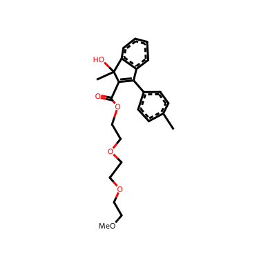 COCCOCCOCCOC(=O)C1=C(c2ccc(C)cc2)c2ccccc2C1(C)O